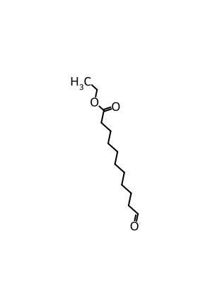 CCOC(=O)CCCCCCCCCC=O